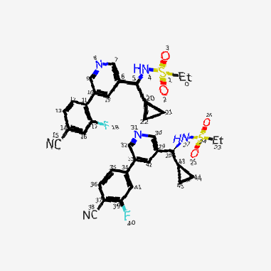 CCS(=O)(=O)NC(c1cncc(-c2ccc(C#N)cc2F)c1)C1CC1.CCS(=O)(=O)N[C@H](c1cncc(-c2ccc(C#N)c(F)c2)c1)C1CC1